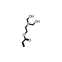 C=CC(=O)OCCN(CO)CO